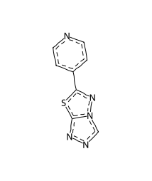 c1cc(-c2nn3cnnc3s2)ccn1